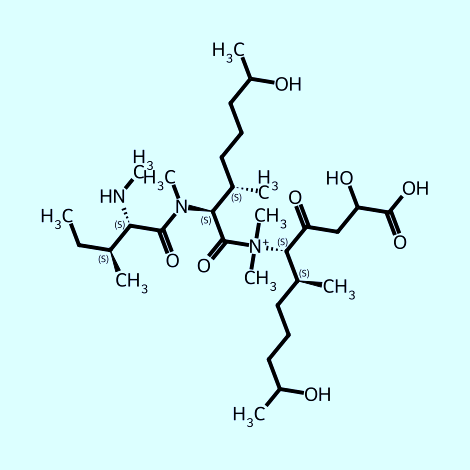 CC[C@H](C)[C@H](NC)C(=O)N(C)[C@H](C(=O)[N+](C)(C)[C@H](C(=O)CC(O)C(=O)O)[C@@H](C)CCCC(C)O)[C@@H](C)CCCC(C)O